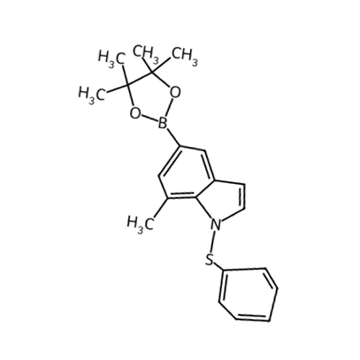 Cc1cc(B2OC(C)(C)C(C)(C)O2)cc2ccn(Sc3ccccc3)c12